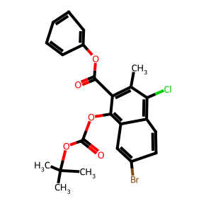 Cc1c(C(=O)Oc2ccccc2)c(OC(=O)OC(C)(C)C)c2cc(Br)ccc2c1Cl